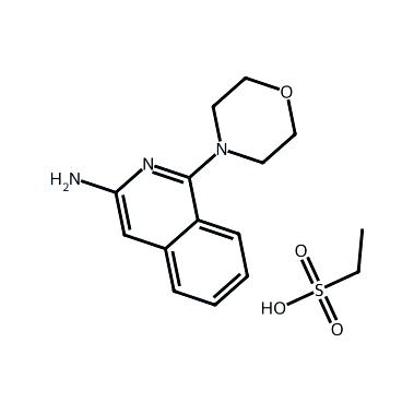 CCS(=O)(=O)O.Nc1cc2ccccc2c(N2CCOCC2)n1